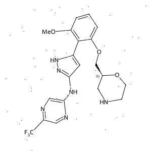 COc1cccc(OC[C@@H]2CNCCO2)c1-c1cc(Nc2cnc(C(F)(F)F)cn2)n[nH]1